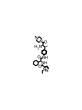 CCn1nccc1C(=O)N[C@H](C(=O)Nc1ccc([C@H](C)[C@@H](N)C(=O)N2CCN(C)CC2)cc1)C1CCCCC1